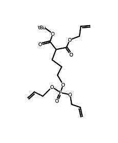 C=CCOC(=O)C(CCCOP(=O)(OCC=C)OCC=C)C(=O)OC(C)(C)C